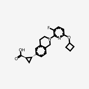 O=C(O)[C@@H]1C[C@H]1c1ccc2c(c1)CCN(c1nc(OC3CCC3)ccc1F)C2